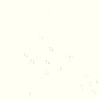 CCS(=O)(=O)OC/C=C(\F)COc1cc(F)ccc1-n1ncc2c(OCc3ccccc3)nc(CO)nc21